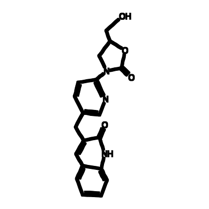 O=C1OC(CO)CN1c1ccc(Cc2cc3ccccc3[nH]c2=O)cn1